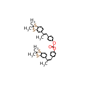 CC(=Cc1ccc(OC(=O)Oc2ccc(C=C(C)c3ccc4c(c3)SC(C)(C)S4)cc2)cc1)c1ccc2c(c1)SC(C)(C)S2